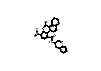 NC(=O)c1c(-c2cc([N+](=O)[O-])ccc2C(=O)NC(C=O)Cc2ccccc2)ccc2ccccc12